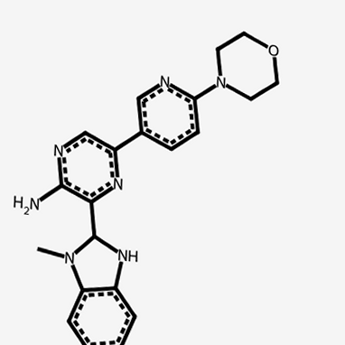 CN1c2ccccc2NC1c1nc(-c2ccc(N3CCOCC3)nc2)cnc1N